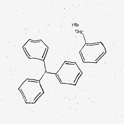 Br.O=Cc1ccccc1.c1ccc(P(c2ccccc2)c2ccccc2)cc1